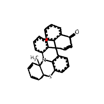 CC12C=CC=CC1Sc1cccc3c1N2c1ccccc1C31c2ccccc2C(=O)c2ccccc21